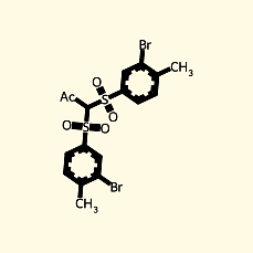 CC(=O)C(S(=O)(=O)c1ccc(C)c(Br)c1)S(=O)(=O)c1ccc(C)c(Br)c1